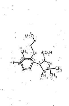 COCCOc1c(C2C(C(=O)O)OC(C)(C(F)(F)F)C2C)ccc(F)c1C